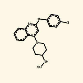 CC(C)(C)NC1CCN(c2cc(Nc3ccc(Cl)cc3)nc3ccccc23)CC1